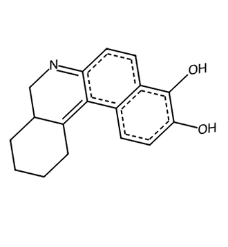 Oc1ccc2c3c(ccc2c1O)=NCC1CCCCC=31